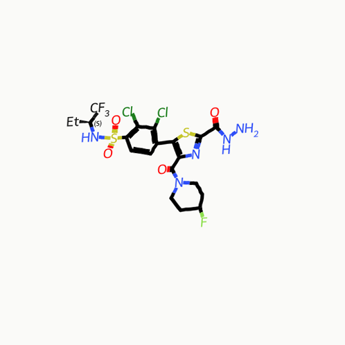 CC[C@H](NS(=O)(=O)c1ccc(-c2sc(C(=O)NN)nc2C(=O)N2CCC(F)CC2)c(Cl)c1Cl)C(F)(F)F